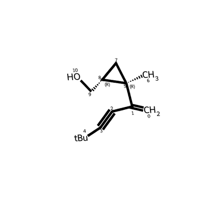 C=C(C#CC(C)(C)C)[C@]1(C)C[C@H]1CO